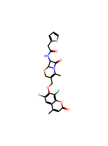 CC1=C(COc2c(F)cc3c(C)cc(=O)oc3c2F)CSC2C(NC(=O)Cc3cccs3)C(=O)N12